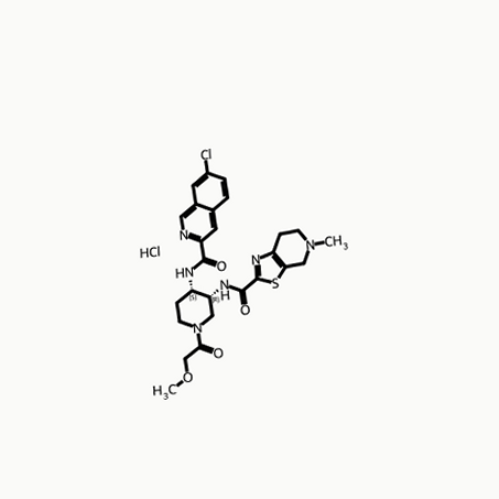 COCC(=O)N1CC[C@H](NC(=O)c2cc3ccc(Cl)cc3cn2)[C@H](NC(=O)c2nc3c(s2)CN(C)CC3)C1.Cl